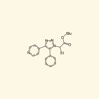 CCC(C(=O)OC(C)(C)C)n1nnc(-c2ccncc2)c1-c1ccccc1